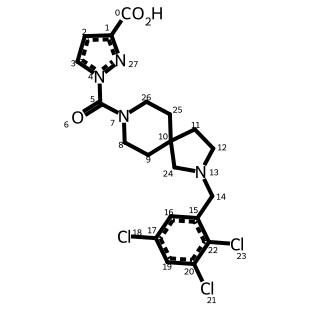 O=C(O)c1ccn(C(=O)N2CCC3(CCN(Cc4cc(Cl)cc(Cl)c4Cl)C3)CC2)n1